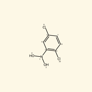 ON(O)c1cc(Cl)ccc1Cl